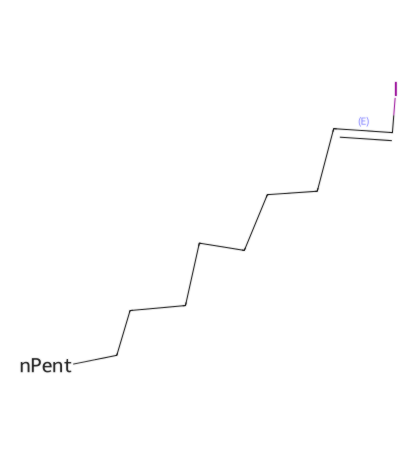 CCCCCCCCCCCC/C=C/I